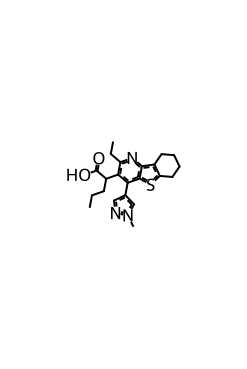 CCCC(C(=O)O)c1c(CC)nc2c3c(sc2c1-c1cnn(C)c1)CCCC3